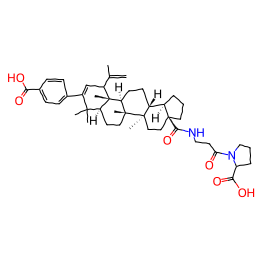 C=C(C)C1C=C(c2ccc(C(=O)O)cc2)C(C)(C)[C@@H]2CC[C@]3(C)[C@H](CC[C@@H]4[C@H]5CCC[C@]5(C(=O)NCCC(=O)N5CCCC5C(=O)O)CC[C@]43C)[C@@]12C